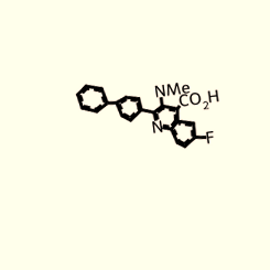 CNc1c(-c2ccc(-c3ccccc3)cc2)nc2ccc(F)cc2c1C(=O)O